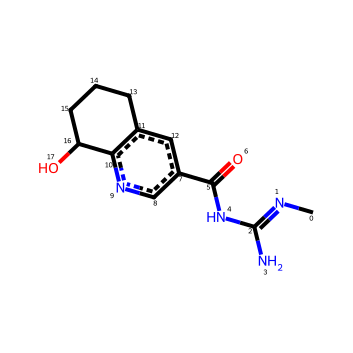 CN=C(N)NC(=O)c1cnc2c(c1)CCCC2O